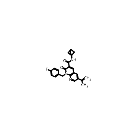 C=C(C)c1cnc2c(c1)cc(C(=O)NC13CC(C1)C3)c(=O)n2Cc1ccc(F)cc1